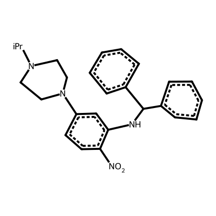 CC(C)N1CCN(c2ccc([N+](=O)[O-])c(NC(c3ccccc3)c3ccccc3)c2)CC1